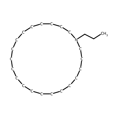 CCCN1CCCCCCCCCCCCCCCCCCCCC1